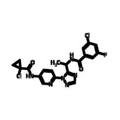 CC(NC(=O)c1cc(F)cc(Cl)c1)c1ncnn1-c1ccc(NC(=O)C2(Cl)CC2)cn1